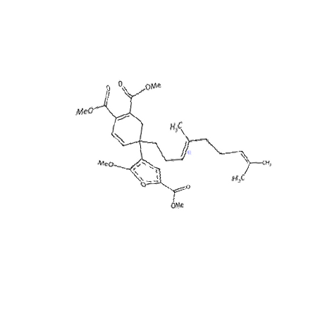 COC(=O)C1=C(C(=O)OC)CC(CC/C=C(\C)CCC=C(C)C)(c2cc(C(=O)OC)oc2OC)C=C1